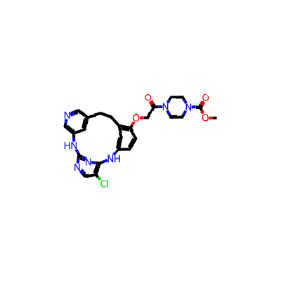 COC(=O)N1CCN(C(=O)COc2ccc3cc2CCc2cncc(c2)Nc2ncc(Cl)c(n2)N3)CC1